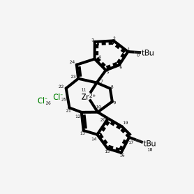 CC(C)(C)c1ccc2c(c1)[C]13CC[C]4([Zr+2]1)C(=Cc1ccc(C(C)(C)C)cc14)CCC3=C2.[Cl-].[Cl-]